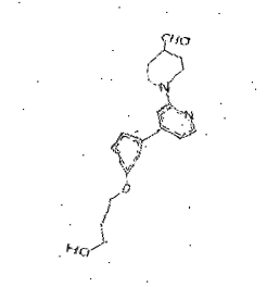 O=CC1CCN(c2cc(-c3cccc(OCCCCO)c3)ccn2)CC1